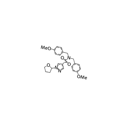 COc1ccc(CN(Cc2ccc(OC)cc2)S(=O)(=O)c2cnn(C3CCCO3)c2)cc1